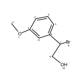 COc1cccc(C(Br)CO)c1